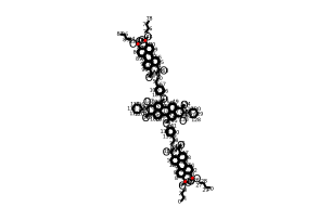 CCCCOC(=O)c1ccc2c3ccc4c5c(ccc(c6ccc(C(=O)OCCCC)c1c26)c53)C(=O)N(CCc1ccc(Oc2cc3c5c(ccc6c7c(Oc8ccc(CCN9C(=O)c%10ccc%11c%12ccc(C(=O)OCCCC)c%13c(C(=O)OCCCC)ccc(c%14ccc(c%10c%11%14)C9=O)c%13%12)cc8)cc8c9c(ccc(c2c56)c97)C(=O)N(C2CCCCC2)C8=O)C(=O)C(N2CCCCC2)C3=O)cc1)C4=O